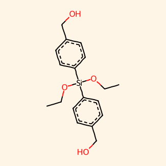 CCO[Si](OCC)(c1ccc(CO)cc1)c1ccc(CO)cc1